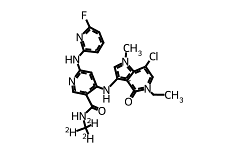 [2H]C([2H])([2H])NC(=O)c1cnc(Nc2cccc(F)n2)cc1Nc1cn(C)c2c(Cl)cn(CC)c(=O)c12